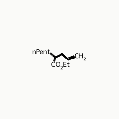 C=CCC(CCCCC)C(=O)OCC